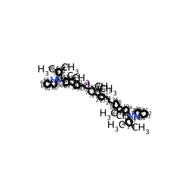 Cc1cc(C)cc(N(c2ccc3c(c2)C(C)(C)c2cc(/C=C/c4ccc5c(c4)C(C)(C)C4=C[C@](I)(/C=C/c6ccc7c(c6)C(C)(C)c6cc(N(c8cc(C)cc(C)c8)c8ccc9ccccc9n8)ccc6-7)CC=C45)ccc2-3)c2ccc3ccccc3n2)c1